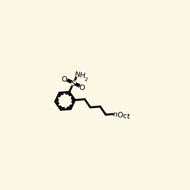 CCCCCCCCCCCCc1ccccc1S(N)(=O)=O